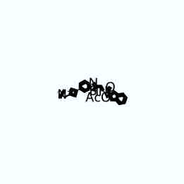 CC(=O)OC1(C(=O)NCc2nc3ccc([C@H]4C[C@H](C[N+](C)(C)C)C4)cc3s2)Cc2ccccc2C1